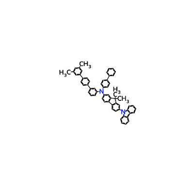 Cc1cc(C)cc(-c2ccc(-c3cccc(N(c4ccc(-c5ccccc5)cc4)c4ccc5c(c4)C(C)(C)c4cc(-n6c7ccccc7c7ccccc76)ccc4-5)c3)cc2)c1